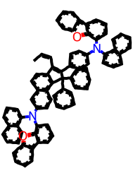 C/C=C\C1=C(c2ccc(N(c3cccc4ccccc34)c3cccc4c3oc3ccccc34)cc2)C(c2ccccc2)(c2ccccc2)c2c1ccc1cc(N(c3cccc4ccccc34)c3cccc4c3oc3ccccc34)ccc21